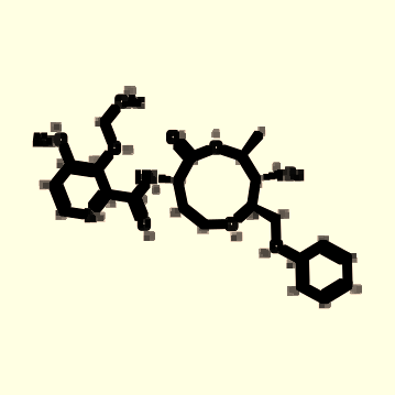 CCCC[C@H]1[C@H](C)OC(=O)[C@@H](NC(=O)c2nccc(OC)c2OCOC(C)=O)CCO[C@@H]1COc1ccccc1